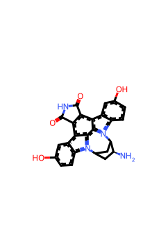 N[C@H]1CC2CC1n1c3ccc(O)cc3c3c4c(c5c6cc(O)ccc6n2c5c31)C(=O)NC4=O